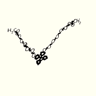 C=CC(=O)OCCOCCOCCOCCOCCOCCOc1ccc(C2(c3ccc(OCCOCCOCCOCCOCCOCCOC(=O)C=C)cc3)c3ccccc3-c3ccccc32)cc1